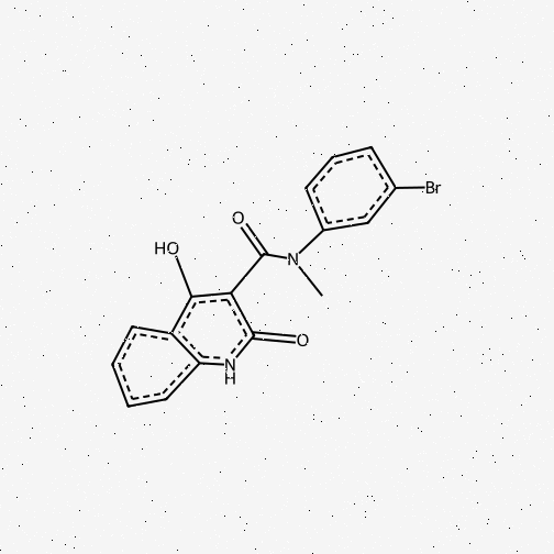 CN(C(=O)c1c(O)c2ccccc2[nH]c1=O)c1cccc(Br)c1